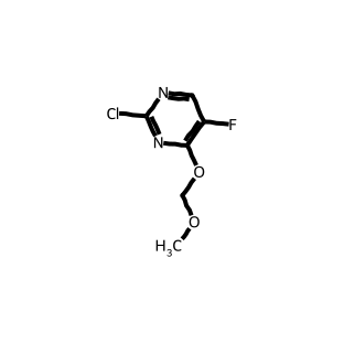 COCOc1nc(Cl)ncc1F